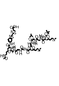 CC(=O)NCCCCC(NC(=O)[C@H](C)NC(=O)CNC(=O)CNC(=O)[C@H](CCCCN(C)C)NC(=O)CNC(=O)[C@H](CC(C)C)NC(=O)CNC(=O)[C@H](CCCCN(C)C)NC(=O)OC(C)(C)C)C(=O)Nc1ccc2nc(C3=NC(C(=O)O)CS3)sc2c1